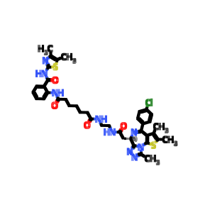 Cc1nc(NC(=O)c2ccccc2NC(=O)CCCCCC(=O)NCCNC(=O)C[C@@H]2N=C(c3ccc(Cl)cc3)c3c(sc(C)c3C)-n3c(C)nnc32)sc1C